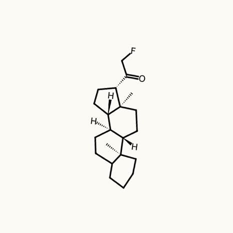 C[C@]12CC[C@H]3[C@@H](CCC4CCCC[C@@]43C)[C@@H]1CC[C@@H]2C(=O)CF